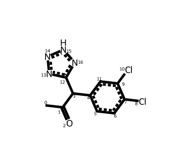 CC(=O)C(c1ccc(Cl)c(Cl)c1)c1nn[nH]n1